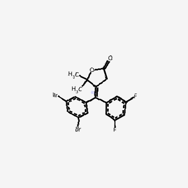 CC1(C)OC(=O)C/C1=C(\c1cc(F)cc(F)c1)c1cc(Br)cc(Br)c1